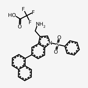 NCc1cn(S(=O)(=O)c2ccccc2)c2ccc(-c3cccc4ccccc34)cc12.O=C(O)C(F)(F)F